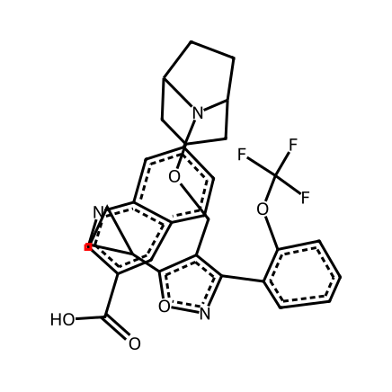 O=C(O)c1cnc2cc(N3C4CCC3CC(OCc3c(-c5ccccc5OC(F)(F)F)noc3C3CC3)C4)ccc2c1